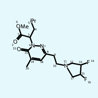 COC(=O)C(CC(C)C)n1nc(CCN2CC(F)C(F)C2)cc(C)c1=O